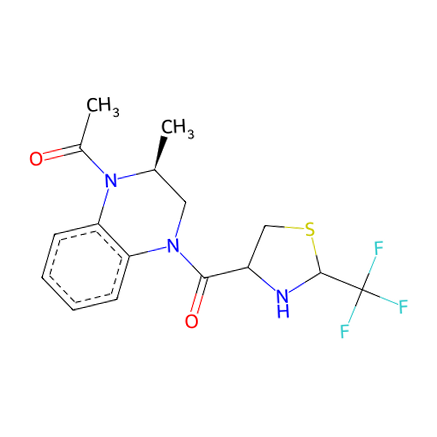 CC(=O)N1c2ccccc2N(C(=O)C2CSC(C(F)(F)F)N2)C[C@@H]1C